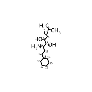 CC(C)OC[C@H](O)[C@H](O)[C@@H](N)CCC1CCCCC1